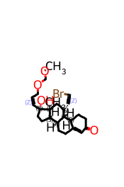 COCOC/C=C\[C@]1(O)CC[C@H]2[C@@H]3CCC4=CC(=O)CC[C@@H]4[C@H]3[C@@H](/C=C\Br)C[C@@]21C